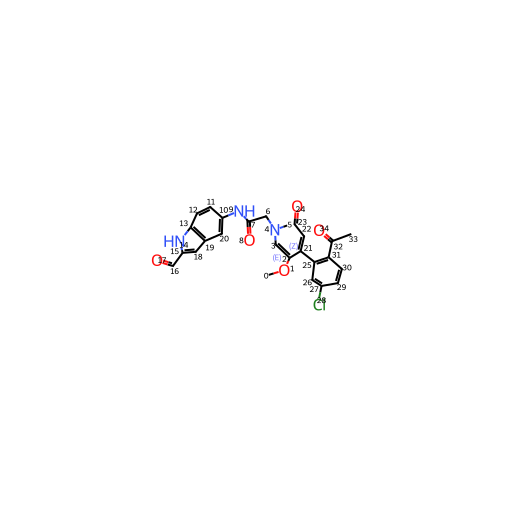 COC(=C/N(C)CC(=O)Nc1ccc2[nH]c(C=O)cc2c1)/C(=C\C=O)c1cc(Cl)ccc1C(C)=O